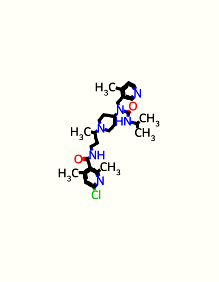 Cc1ccncc1CN(C(=O)NC(C)C)C1CCN(C(C)CCNC(=O)c2c(C)cc(Cl)nc2C)CC1